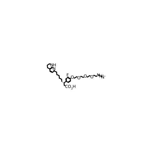 [N-]=[N+]=NCCOCCOCCOCCOc1ccc([C@@H](CCCCCCc2ccc3c(n2)NCCC3)CC(=O)O)cc1F